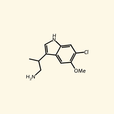 COc1cc2c(C(C)CN)c[nH]c2cc1Cl